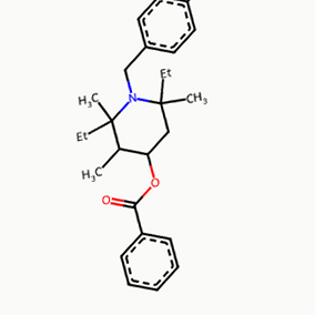 CCC1(C)CC(OC(=O)c2ccccc2)C(C)C(C)(CC)N1Cc1ccc(C)cc1